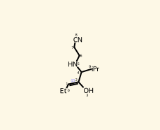 CC/C=C(\O)C(NCCC#N)C(C)C